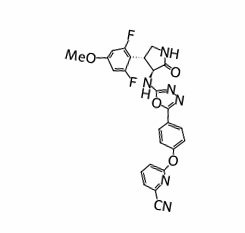 COc1cc(F)c([C@@H]2CNC(=O)[C@H]2Nc2nnc(-c3ccc(Oc4cccc(C#N)n4)cc3)o2)c(F)c1